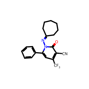 N#Cc1c(C(F)(F)F)cc(-c2ccccc2)n(N=C2CCCCCC2)c1=O